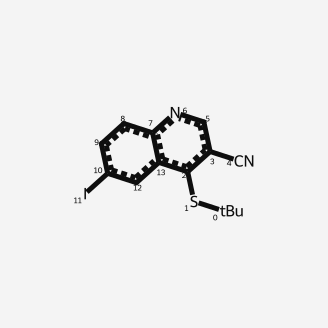 CC(C)(C)Sc1c(C#N)cnc2ccc(I)cc12